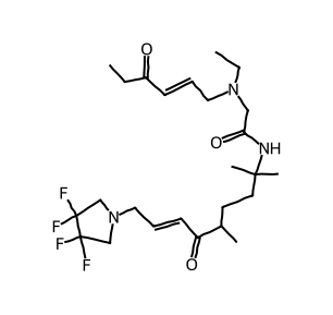 CCC(=O)/C=C/CN(CC)CC(=O)NC(C)(C)CCC(C)C(=O)/C=C/CN1CC(F)(F)C(F)(F)C1